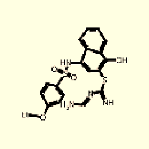 CCOc1ccc(S(=O)(=O)Nc2cc(SC(=N)/N=C/N)c(O)c3ccccc23)cc1